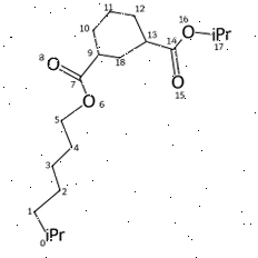 CC(C)CCCCCOC(=O)C1CCCC(C(=O)OC(C)C)C1